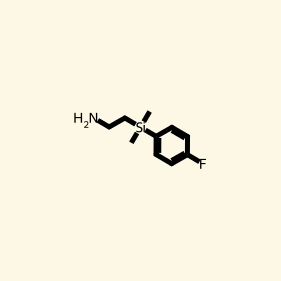 C[Si](C)(CCN)c1ccc(F)cc1